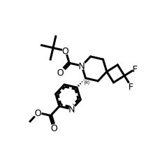 COC(=O)c1ccc([C@H]2CC3(CCN2C(=O)OC(C)(C)C)CC(F)(F)C3)cn1